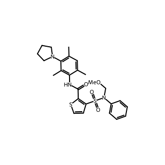 COCN(c1ccccc1)S(=O)(=O)c1ccsc1C(=O)Nc1c(C)cc(C)c(N2CCCC2)c1C